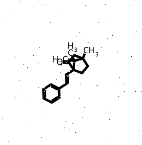 CC12CCC(C=Cc3ccccc3)(C(=O)C1)C2(C)C